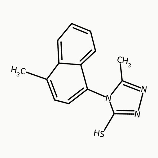 Cc1ccc(-n2c(C)nnc2S)c2ccccc12